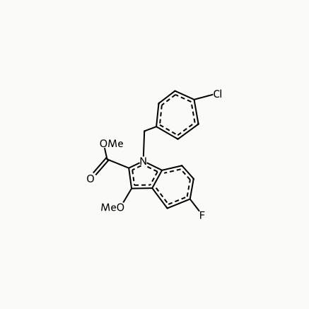 COC(=O)c1c(OC)c2cc(F)ccc2n1Cc1ccc(Cl)cc1